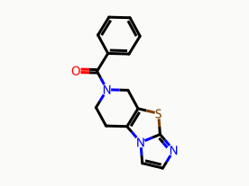 O=C(c1ccccc1)N1CCc2c(sc3nccn23)C1